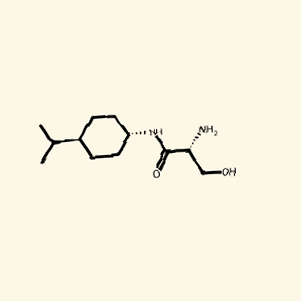 CC(C)[C@H]1CC[C@H](NC(=O)[C@H](N)CO)CC1